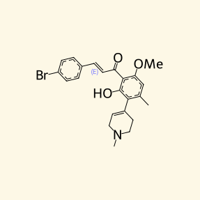 COc1cc(C)c(C2=CCN(C)CC2)c(O)c1C(=O)/C=C/c1ccc(Br)cc1